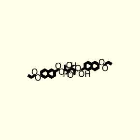 C=CC(=O)Oc1ccc2cc(C(=O)O[C@H]3CO[C@H]4[C@@H]3OC[C@H]4OC(O)c3ccc4cc(OC(=O)C=C)ccc4c3)ccc2c1